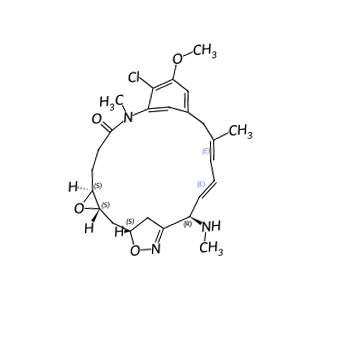 CN[C@@H]1/C=C/C=C(\C)Cc2cc(OC)c(Cl)c(c2)N(C)C(=O)CC[C@@H]2O[C@H]2C[C@@H]2CC1=NO2